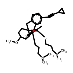 COC1CCC2(CC1)Cc1ccc(C#CC3CC3)cc1C21N=C(SCCCN(C)C)N(CCCN(C)C)C1=O